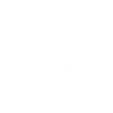 C=C(C)S(=O)(=O)N(Cc1ccc(OC)cc1)Cc1ccc(OC)cc1